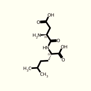 CC(C)CC[C@H](NC(=O)[C@@H](N)CC(=O)O)C(=O)O